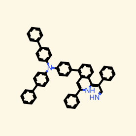 N=C/C(=C1\NC(c2ccccc2)=Cc2c1cccc2-c1ccc(N(c2ccc(-c3ccccc3)cc2)c2ccc(-c3ccccc3)cc2)cc1)c1ccccc1